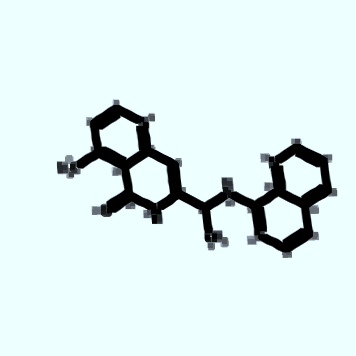 Cc1ccnc2cc(C(C)Nc3nccc4cccnc34)[nH]c(=O)c12